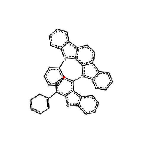 C1=CCCC(c2ccc(-n3c4ccccc4c4ccc5c6ccccc6n(-c6ccccc6)c5c43)c3c2oc2ccccc23)=C1